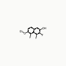 CCOc1ccc2cc(O)c(F)c(F)c2c1F